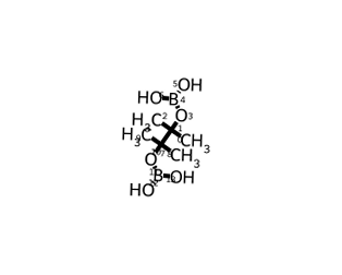 CC(C)(OB(O)O)C(C)(C)OB(O)O